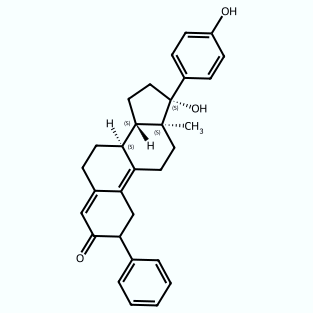 C[C@]12CCC3=C4CC(c5ccccc5)C(=O)C=C4CC[C@H]3[C@@H]1CC[C@@]2(O)c1ccc(O)cc1